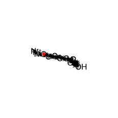 [N-]=[N+]=NCCOCCOCCOCCOCCOCCS(=O)(=O)c1ccc(O)cc1